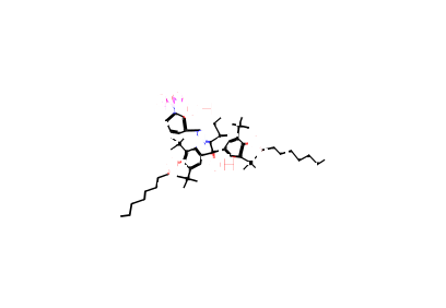 CCCCCCCCOc1c(C(C)(C)C)cc(C(O)(c2cc(C(C)(C)C)c(OCCCCCCCC)c(C(C)(C)C)c2)C(N=Cc2cccc([N+](=O)[O-])c2O)C(C)CC)cc1C(C)(C)C